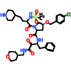 CS(=O)(=O)N[C@H](CCC1CCNCC1)C(=O)N1C[C@H](OCc2ccc(Cl)cc2)C[C@H]1C(=O)N[C@@H](Cc1ccccc1)C(=O)C(=O)NCC1CCOCC1